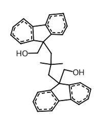 CC(C)(CC1(CO)c2ccccc2-c2ccccc21)CC1(CO)c2ccccc2-c2ccccc21